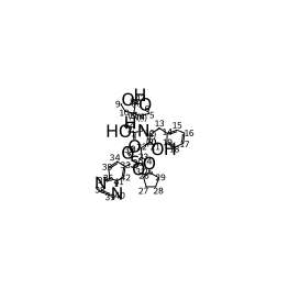 O=C(O)N([C@H]1CO[C@H]2OCC[C@H]21)[C@@H](Cc1ccccc1)[C@H](O)CC(OC1CCCC1)S(=O)(=O)c1ccc2nccnc2c1